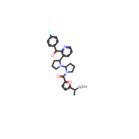 CNC(C)c1ccc(C(=O)N2CCCC2N2CCCC2c2cccnc2C(=O)c2ccc(F)cc2)o1